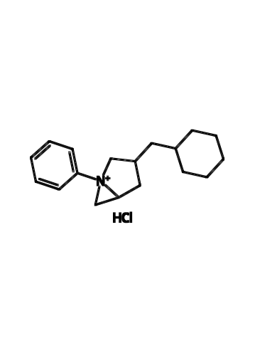 Cl.c1ccc([N+]23CC(CC4CCCCC4)CC2C3)cc1